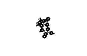 Cc1ccc(N(c2ccc(-c3cccc(N4c5cc(-c6cc(C)cc(C)c6)ccc5C5(c6cc(C)sc6-c6sc(C)cc65)c5ccc6c(oc7ccccc76)c54)c3)cc2)c2ccc3ccccc3c2)cc1